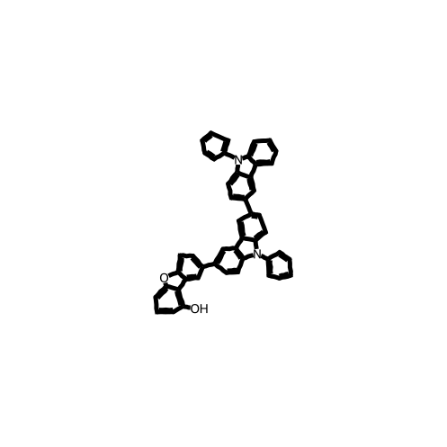 Oc1cccc2oc3ccc(-c4ccc5c(c4)c4cc(-c6ccc7c(c6)c6ccccc6n7-c6ccccc6)ccc4n5-c4ccccc4)cc3c12